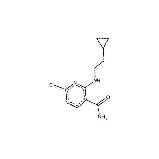 NC(=O)c1cnc(Cl)nc1NCCC1CC1